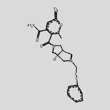 Cc1oc(=O)cc(C(N)=O)c1C(=O)N1CC2CN(CC[CH]c3ccccc3)C[C@H]2C1